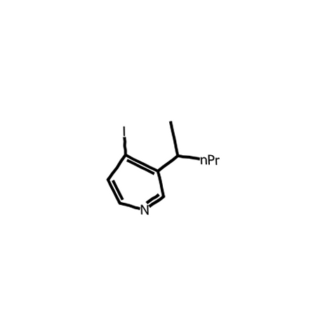 CCCC(C)c1cnccc1I